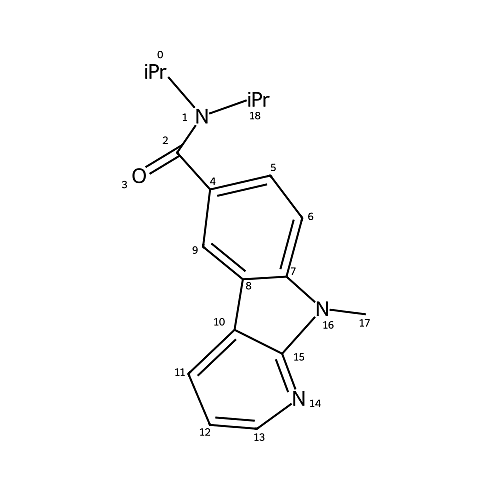 CC(C)N(C(=O)c1ccc2c(c1)c1cccnc1n2C)C(C)C